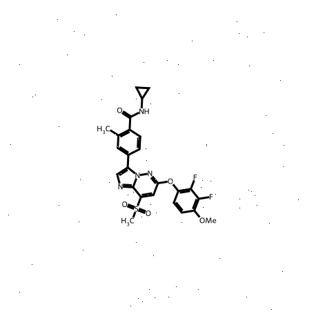 COc1ccc(Oc2cc(S(C)(=O)=O)c3ncc(-c4ccc(C(=O)NC5CC5)c(C)c4)n3n2)c(F)c1F